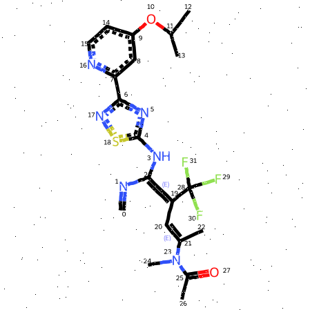 C=N/C(Nc1nc(-c2cc(OC(C)C)ccn2)ns1)=C(\C=C(/C)N(C)C(C)=O)C(F)(F)F